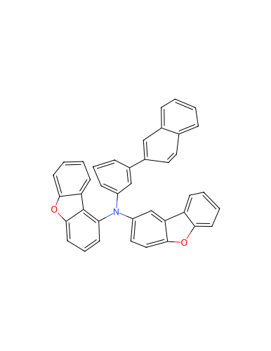 c1cc(-c2ccc3ccccc3c2)cc(N(c2ccc3oc4ccccc4c3c2)c2cccc3oc4ccccc4c23)c1